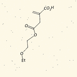 C=C(CC(=O)OCCOCC)C(=O)O